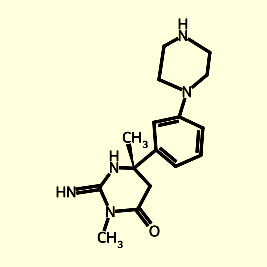 CN1C(=N)N[C@](C)(c2cccc(N3CCNCC3)c2)CC1=O